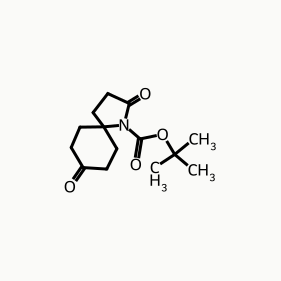 CC(C)(C)OC(=O)N1C(=O)CCC12CCC(=O)CC2